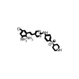 Nc1cc(Cl)cc(/C=C/c2cnc(Nc3ccc(S(=O)(=O)C4CCNCC4)cc3)nc2)c1N